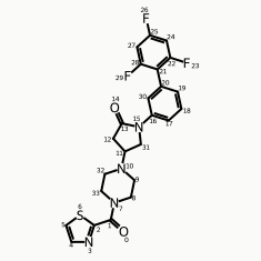 O=C(c1nccs1)N1CCN(C2CC(=O)N(c3cccc(-c4c(F)cc(F)cc4F)c3)C2)CC1